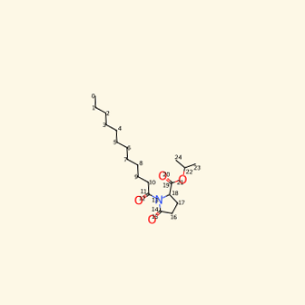 CCCCCCCCCCCC(=O)N1C(=O)CCC1C(=O)OC(C)C